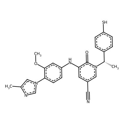 COc1cc(Nc2cc(C#N)cn([C@@H](C)c3ccc(S)cc3)c2=O)ccc1-n1cnc(C)c1